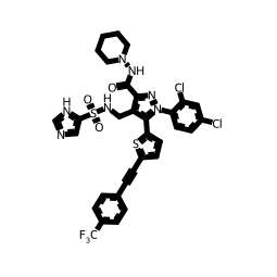 O=C(NN1CCCCC1)c1nn(-c2ccc(Cl)cc2Cl)c(-c2ccc(C#Cc3ccc(C(F)(F)F)cc3)s2)c1CNS(=O)(=O)c1cnc[nH]1